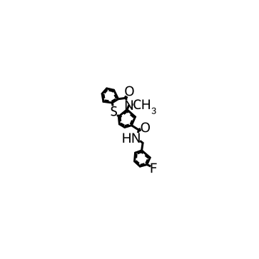 CN1C(=O)c2ccccc2Sc2ccc(C(=O)NCc3cccc(F)c3)cc21